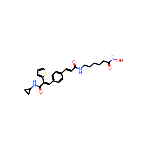 O=C(/C=C/c1ccc(/C=C(/C(=O)NC2CC2)c2cccs2)cc1)NCCCCCC(=O)NO